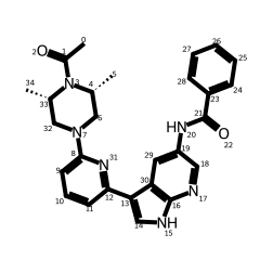 CC(=O)N1[C@H](C)CN(c2cccc(-c3c[nH]c4ncc(NC(=O)c5ccccc5)cc34)n2)C[C@@H]1C